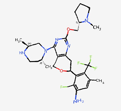 Cc1cc(N)c(F)c(C2Cc3nc(OC[C@@H]4CCCN4C)nc(N4C[C@H](C)NC[C@H]4C)c3CO2)c1C(F)(F)F